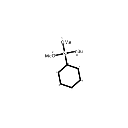 CCCC[Si](OC)(OC)C1CCCCC1